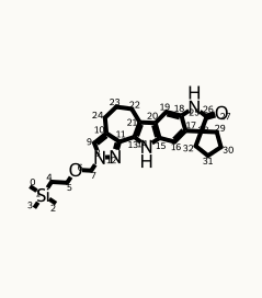 C[Si](C)(C)CCOCn1cc2c(n1)-c1[nH]c3cc4c(cc3c1CCC2)NC(=O)C41CCCC1